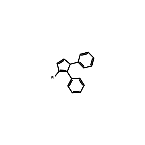 [Pt][C]1=C(c2ccccc2)C(c2ccccc2)C=C1